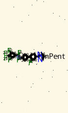 CCCCCc1cnc(-c2ccc(-c3ccc(/C(F)=C(\F)c4cc(F)c(C(F)F)c(F)c4)cc3)c(F)c2)nc1